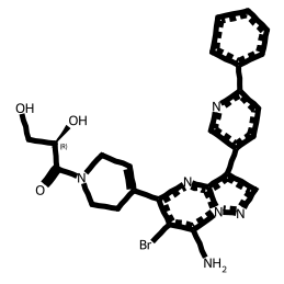 Nc1c(Br)c(C2=CCN(C(=O)[C@H](O)CO)CC2)nc2c(-c3ccc(-c4ccccc4)nc3)cnn12